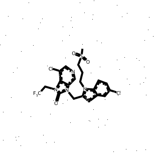 CS(=O)(=O)CCCn1c(Cn2c(=O)n(CC(F)(F)F)c3c(Cl)cncc32)cc2cc(Cl)ccc21